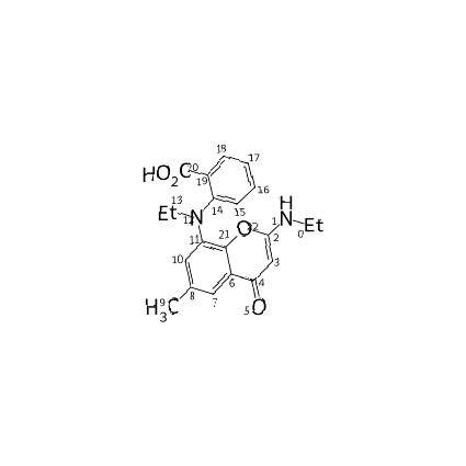 CCNc1cc(=O)c2cc(C)cc(N(CC)c3ccccc3C(=O)O)c2o1